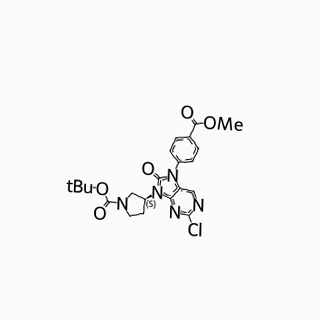 COC(=O)c1ccc(-n2c(=O)n([C@H]3CCN(C(=O)OC(C)(C)C)C3)c3nc(Cl)ncc32)cc1